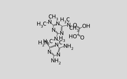 CN(C)c1nc(N(C)C)nc(N(C)C)n1.Nc1nc(N)nc(N)n1.O=C(O)C(=O)O